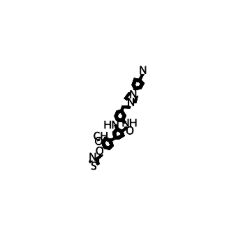 COc1cc(-c2ccc3c(c2)Nc2ccc(CCN4CCN(c5ccc(C#N)cc5)CC4)cc2NC3=O)ccc1OCc1cscn1